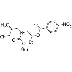 C=C(CCl)CN(CC(CC)OC(=O)c1ccc([N+](=O)[O-])cc1)C(=O)OC(C)(C)C